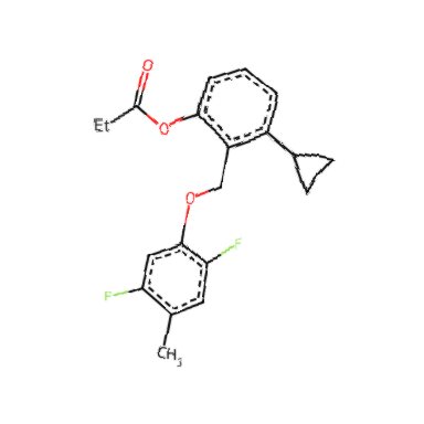 CCC(=O)Oc1cccc(C2CC2)c1COc1cc(F)c(C)cc1F